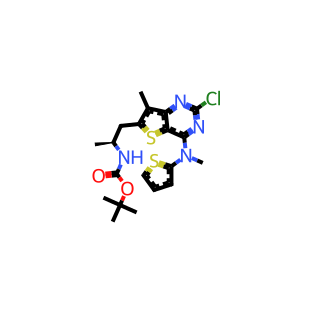 Cc1c(C[C@H](C)NC(=O)OC(C)(C)C)sc2c(N(C)c3cccs3)nc(Cl)nc12